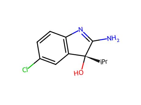 CC(C)[C@]1(O)C(N)=Nc2ccc(Cl)cc21